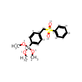 CO[Si](OC)(OC)c1ccc(CS(=O)(=O)c2ccccc2)cc1